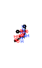 C[C@H](NC(=O)CNC(=O)[C@H](Cc1ccccc1)NC(=O)OCc1ccccc1)C(=O)N[C@@H](CCC(=O)OC(C)(C)C)C(=O)O